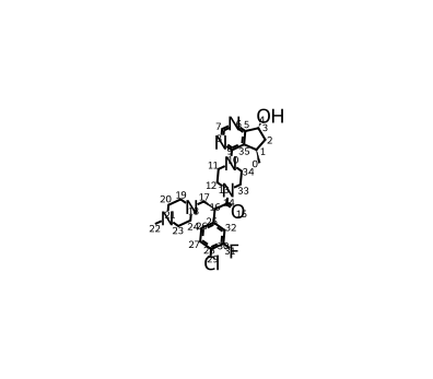 C[C@@H]1C[C@@H](O)c2ncnc(N3CCN(C(=O)[C@H](CN4CCN(C)CC4)c4ccc(Cl)c(F)c4)CC3)c21